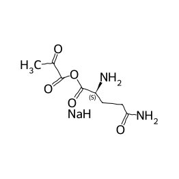 CC(=O)C(=O)OC(=O)[C@@H](N)CCC(N)=O.[NaH]